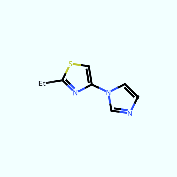 CCc1nc(-n2ccnc2)cs1